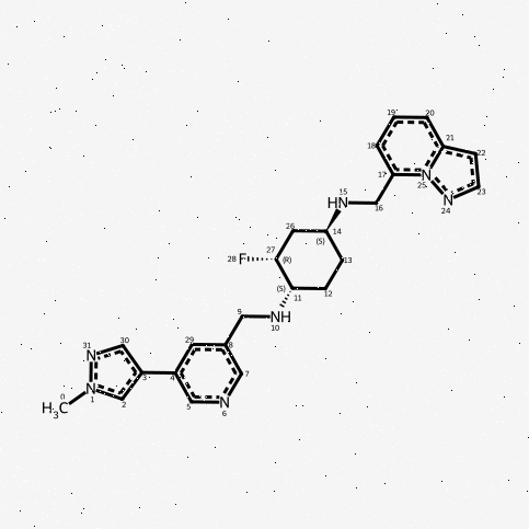 Cn1cc(-c2cncc(CN[C@H]3CC[C@H](NCc4cccc5ccnn45)C[C@H]3F)c2)cn1